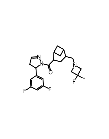 O=C(C1CC(CN2CC(F)(F)C2)C2CC1C2)N1N=CCC1c1cc(F)cc(F)c1